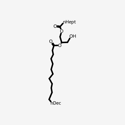 CCCCCCCCCCCCCCCCCCCCCC(=O)OC(CO)COC(=O)CCCCCCC